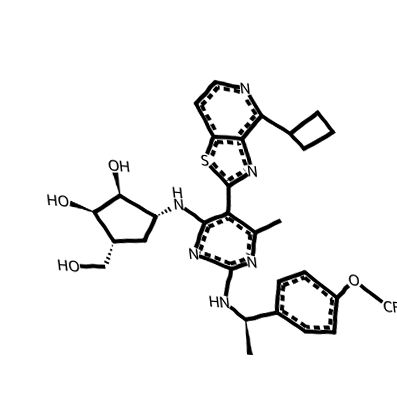 Cc1nc(N[C@H](C)c2ccc(OC(F)(F)F)cc2)nc(N[C@@H]2C[C@H](CO)[C@@H](O)[C@H]2O)c1-c1nc2c(C3CCC3)nccc2s1